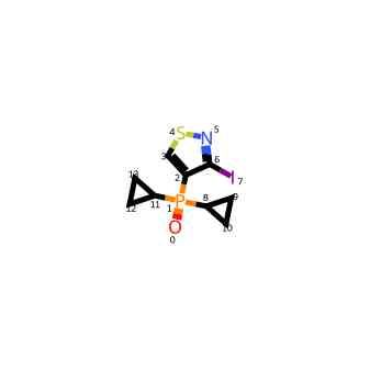 O=P(c1csnc1I)(C1CC1)C1CC1